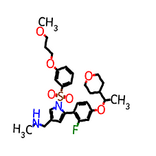 CNCc1cc(-c2ccc(OC(C)C3CCOCC3)cc2F)n(S(=O)(=O)c2cccc(OCCCOC)c2)c1